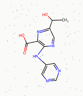 CC(O)c1cnc(Nc2cncnc2)c(C(=O)O)n1